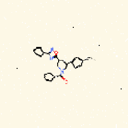 O=C(C1CCCC1)N1CC(c2ccc(C(F)(F)F)cc2)CC(c2nc(-c3ccccc3)no2)C1